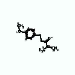 COc1ccc(CCC(=O)N(C)C)cc1